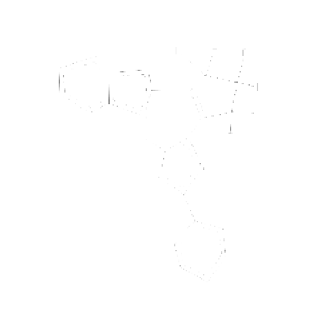 Cc1sc(-c2ccccc2)nc1C1=C(c2sc3ccccc3c2C)C(F)(F)C(F)(F)C1(F)F